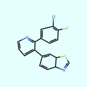 Fc1ccc(-c2ncccc2C2=CC3SC=NC3C=C2)cc1Cl